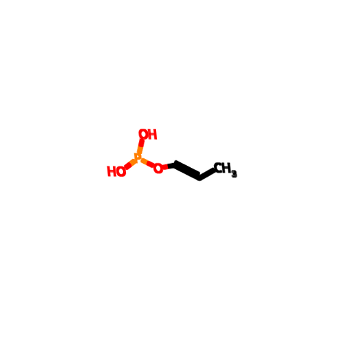 CC=COP(O)O